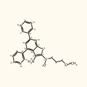 COCCC[S+]([O-])c1sc2nc(-c3cncnc3)cc(-c3ccnnc3)c2c1N